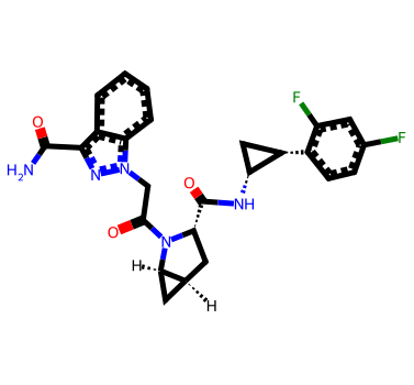 NC(=O)c1nn(CC(=O)N2[C@@H]3C[C@@H]3C[C@H]2C(=O)N[C@@H]2C[C@@H]2c2ccc(F)cc2F)c2ccccc12